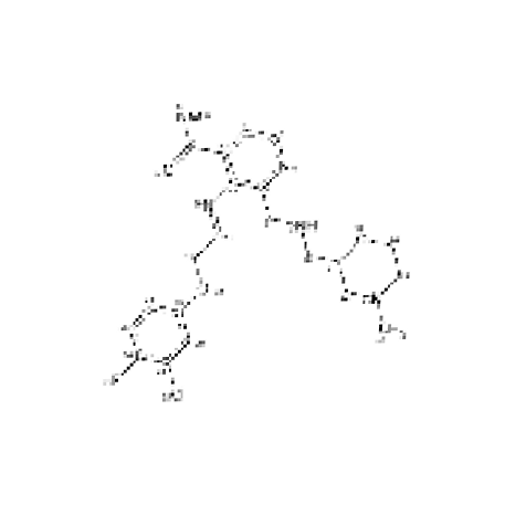 CNC(=O)c1ccnc(CNCC2CN(C)CCO2)c1/N=C/COc1ccc(F)c(Cl)c1